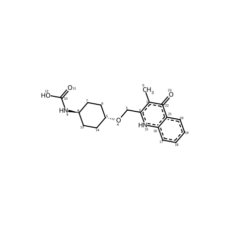 Cc1c(CO[C@H]2CC[C@H](NC(=O)O)CC2)[nH]c2ccccc2c1=O